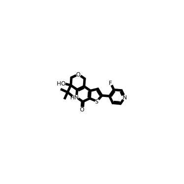 CC(C)(C)C1(O)COCc2c1[nH]c(=O)c1sc(-c3ccncc3F)cc21